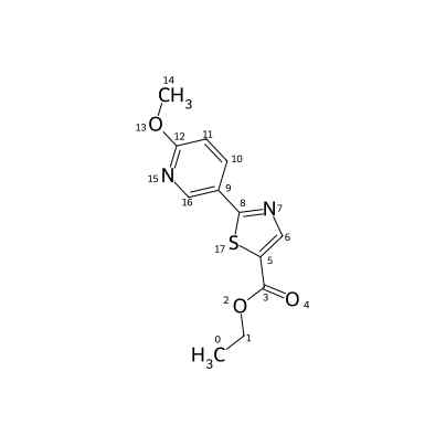 CCOC(=O)c1cnc(-c2ccc(OC)nc2)s1